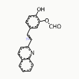 O=COc1cc(/C=C/c2ccc3ccccc3n2)ccc1O